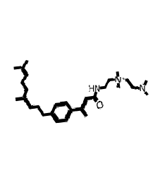 CC(C)=CCCC(C)=CCCc1ccc(C(C)=CC(=O)NCC[N+](C)(C)CCN(C)C)cc1